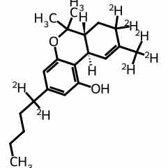 [2H]C([2H])([2H])C1=C[C@H]2c3c(O)cc(C([2H])([2H])CCCC)cc3OC(C)(C)[C@@H]2CC1([2H])[2H]